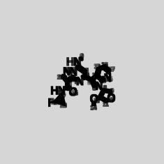 CNc1cc(-c2cn([C@@H]3COC[C@H]3OC)c3ncccc23)nc2c(C(=O)N[C@@H]3C[C@@H]3F)cnn12